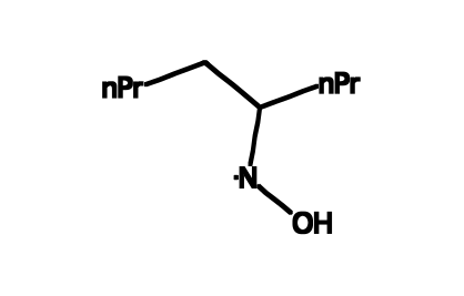 CCCCC(CCC)[N]O